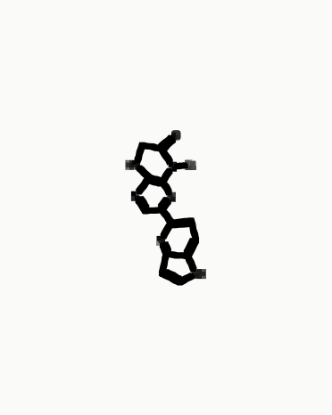 CCN1C(=O)CNc2ncc(-c3ccc4[nH]ccc4n3)nc21